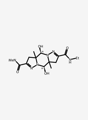 CCNC(=O)C1=NN2[C@H](O)C3(C)CC(C(=O)NC)=NN3[C@H](O)C2(C)C1